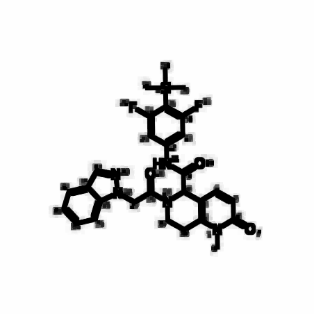 Cn1c2c(ccc1=O)C(C(=O)Nc1cc(F)c([Si](C)(C)C)c(F)c1)N(C(=O)Cn1ncc3ccccc31)CC2